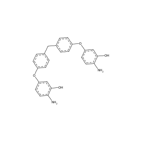 Nc1ccc(Oc2ccc(Cc3ccc(Oc4ccc(N)c(O)c4)cc3)cc2)cc1O